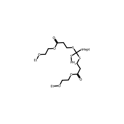 CCCCCCCC(SP)(SCCC(=O)OCCOCC)SCCC(=O)OCCOCC